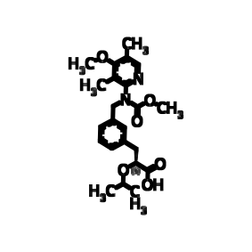 COC(=O)N(Cc1cccc(C[C@H](OC(C)C)C(=O)O)c1)c1ncc(C)c(OC)c1C